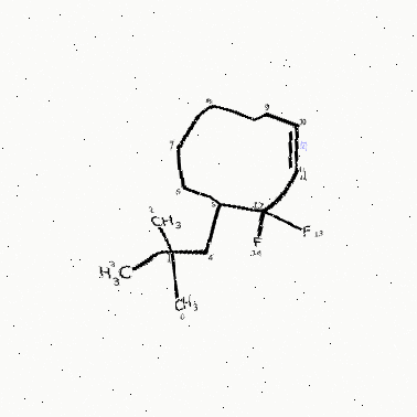 CC(C)(C)CC1CCCC/C=C\C1(F)F